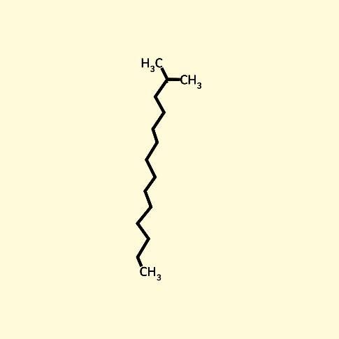 CCCCCCCCCCCC[C](C)C